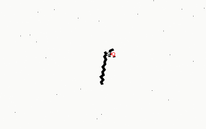 CCCCCCCCCCCCC(C)[Si](C)(CC)OC